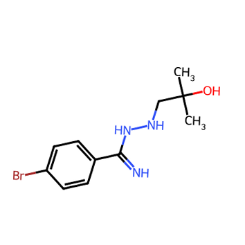 CC(C)(O)CNNC(=N)c1ccc(Br)cc1